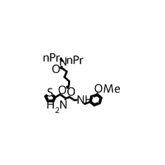 CCCN(CCC)C(=O)CCCC(=O)OC(CNCc1cccc(OC)c1)C(N)Cc1cccs1